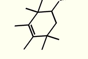 CC1=C(C)C(C)(C)C(C=O)CC1(C)C